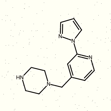 [c]1cnn(-c2cc(CN3CCNCC3)ccn2)c1